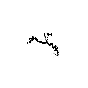 CC(C)(CO)CCCCC(CCCCC(C)(C)CO)OCO